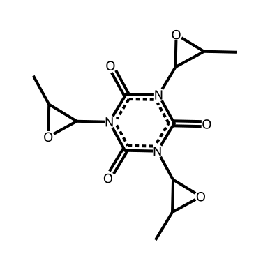 CC1OC1n1c(=O)n(C2OC2C)c(=O)n(C2OC2C)c1=O